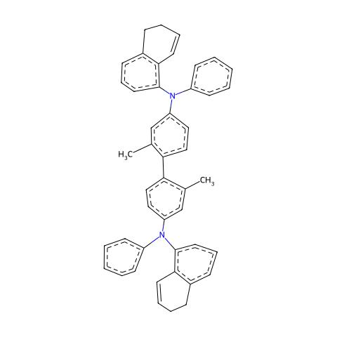 Cc1cc(N(c2ccccc2)c2cccc3c2C=CCC3)ccc1-c1ccc(N(c2ccccc2)c2cccc3c2C=CCC3)cc1C